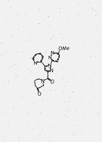 COc1ccc(-n2nc(C(=O)N3CCCC(=O)C3)cc2-c2ccccn2)nn1